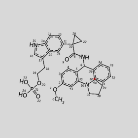 COc1ccc(C(NC(=O)C2(c3ccc4[nH]cc(CCOP(=O)(O)O)c4c3)CC2)c2ccccc2)c(N2CCCC2)c1